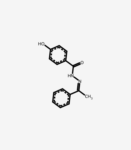 CC(=NNC(=O)c1ccc(O)cc1)c1ccccc1